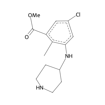 COC(=O)c1cc(Cl)cc(NC2CCNCC2)c1C